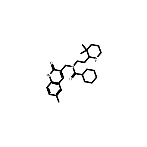 Cc1ccc2[nH]c(=O)c(CN(CCC3NCCCC3(C)C)C(=O)C3CCCCC3)cc2c1